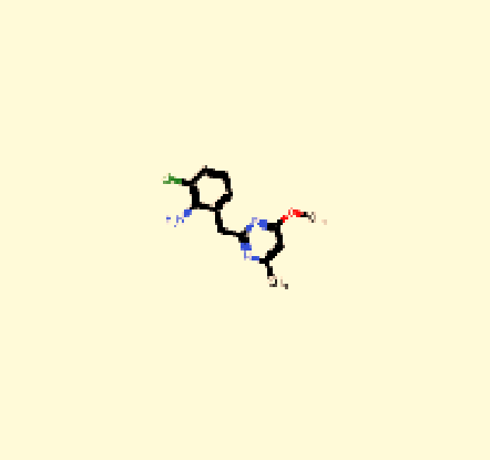 COc1cc(C)nc(Cc2cccc(Cl)c2N)n1